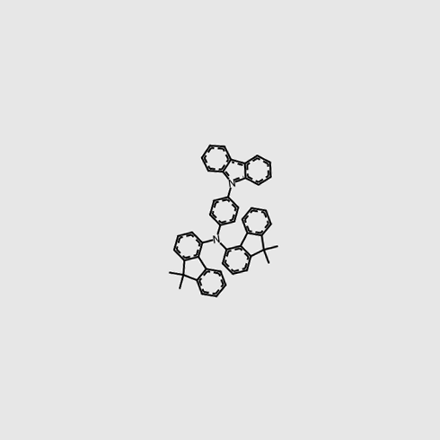 CC1(C)c2ccccc2-c2c(N(c3ccc(-n4c5ccccc5c5ccccc54)cc3)c3cccc4c3-c3ccccc3C4(C)C)cccc21